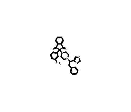 Cc1cccc(C2(N3CCN(C(Cc4ccccc4)C4=COCO4)CC3)C(=O)c3ccccc3C2=O)c1